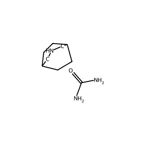 C1CC2CCC1CNC2.NC(N)=O